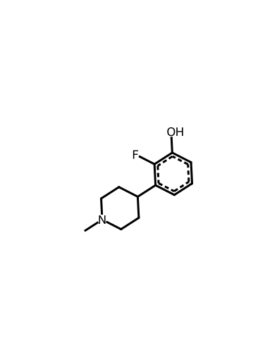 CN1CCC(c2cccc(O)c2F)CC1